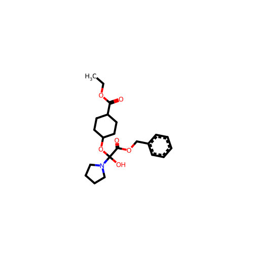 CCOC(=O)C1CCC(OC(O)(C(=O)OCc2ccccc2)N2CCCC2)CC1